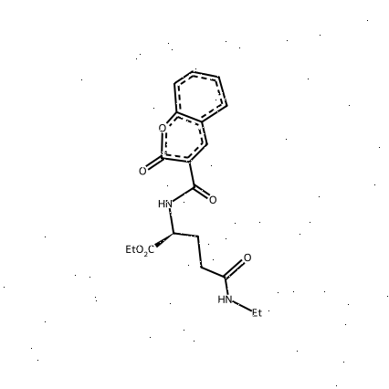 CCNC(=O)CC[C@H](NC(=O)c1cc2ccccc2oc1=O)C(=O)OCC